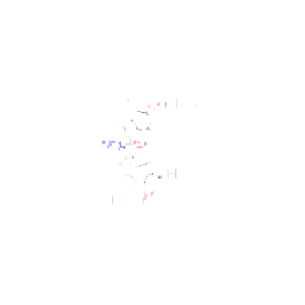 CCCCCCCOc1ccc(S(=O)(=O)C(=[N+]=[N-])S(=O)(=O)c2ccc(OCCCCCCC)c(C)c2)cc1C